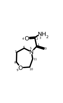 C=C(C(N)=O)N1CCCOCC1